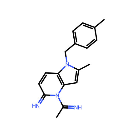 CC(=N)n1c(=N)ccc2c1cc(C)n2Cc1ccc(C)cc1